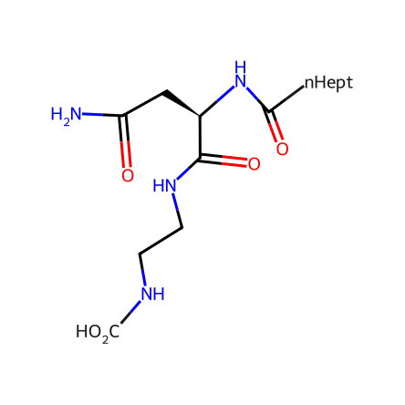 CCCCCCCC(=O)N[C@H](CC(N)=O)C(=O)NCCNC(=O)O